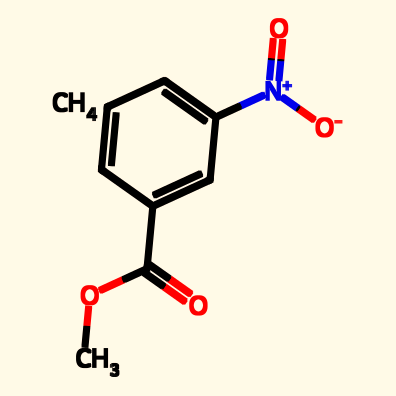 C.COC(=O)c1cccc([N+](=O)[O-])c1